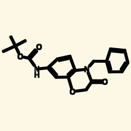 CC(C)(C)OC(=O)Nc1ccc2c(c1)OCC(=O)N2Cc1ccccc1